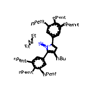 CCCCCc1cc(C2=CC(CCCC)=C(c3cc(CCCCC)c(CCCCC)c(CCCCC)c3)[N+]2=[N-])cc(CCCCC)c1CCCCC.C[CH2][Ni][CH2]C